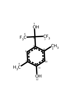 Cc1cc(C(O)(C(F)(F)F)C(F)(F)F)c(C)cc1O